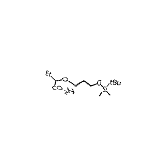 CCC(OCCCO[Si](C)(C)C(C)(C)C)C(=O)O